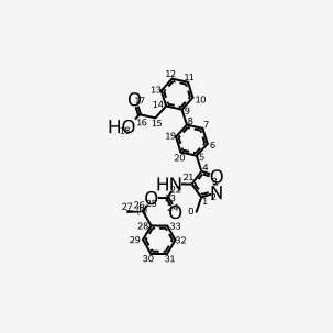 Cc1noc(-c2ccc(-c3ccccc3CC(=O)O)cc2)c1NC(=O)O[C@H](C)c1ccccc1